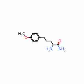 COc1ccc(CCCC(N)C(N)=O)cc1